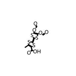 CC1=C(C(=O)O)SC(=C2SC(OC=O)=C(OC=O)S2)S1